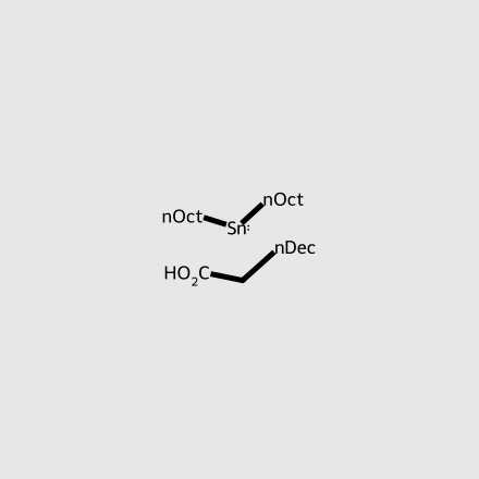 CCCCCCCCCCCC(=O)O.CCCCCCC[CH2][Sn][CH2]CCCCCCC